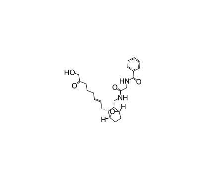 O=C(CO)CCCC=CC[C@@H]1[C@H](CNC(=O)CNC(=O)c2ccccc2)[C@@H]2CC[C@H]1O2